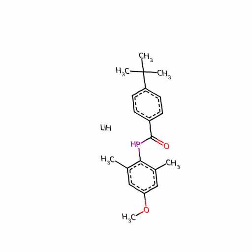 COc1cc(C)c(PC(=O)c2ccc(C(C)(C)C)cc2)c(C)c1.[LiH]